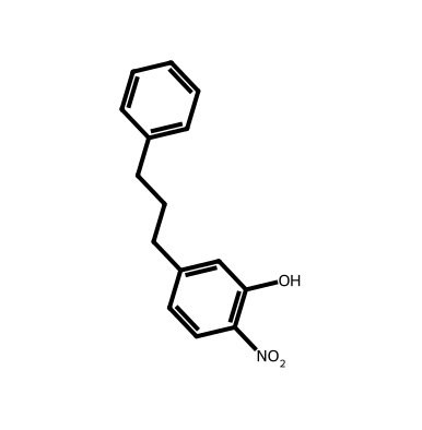 O=[N+]([O-])c1ccc(CCCc2ccccc2)cc1O